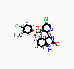 O=c1nc(-c2ncc(Cl)cc2NS(=O)(=O)c2ccc(Cl)c(C(F)(F)F)c2)c2ccccc2[nH]1